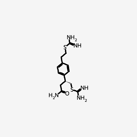 N=C(N)SCCc1ccc([C@H](CSC(=N)N)CC(N)=O)cc1